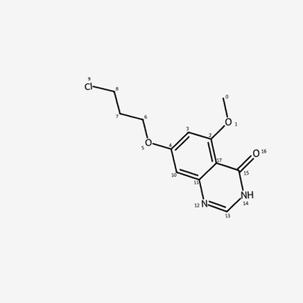 COc1cc(OCCCCl)cc2nc[nH]c(=O)c12